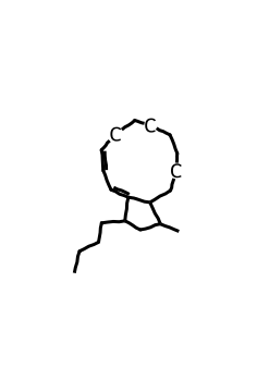 CCCCC1CC(C)C2CCCCCCCC=CC=C12